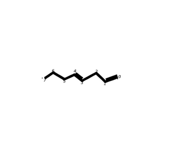 [CH]=CC/C=C/CC[CH2]